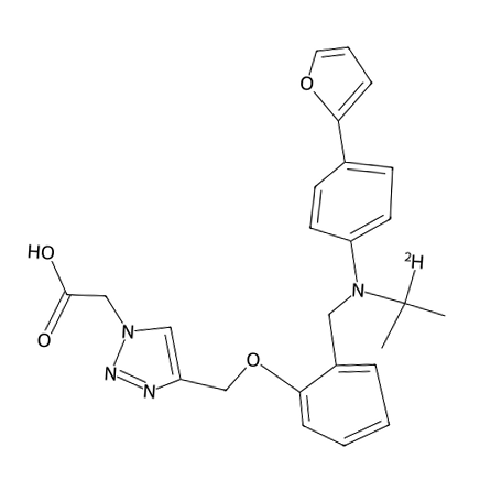 [2H]C(C)(C)N(Cc1ccccc1OCc1cn(CC(=O)O)nn1)c1ccc(-c2ccco2)cc1